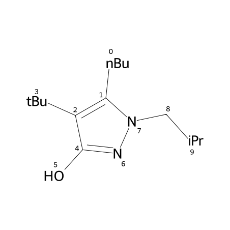 CCCCc1c(C(C)(C)C)c(O)nn1CC(C)C